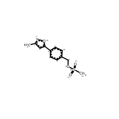 Cc1cc(-c2ccc(COS(C)(=O)=O)cc2)on1